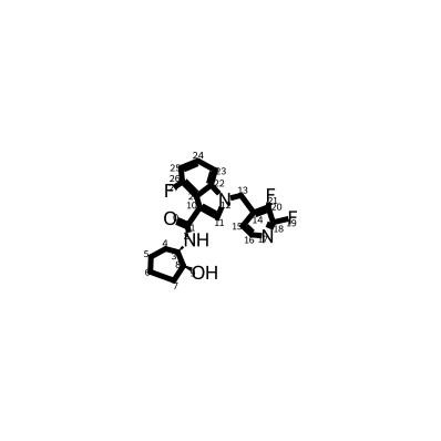 O=C(N[C@H]1CCCC[C@@H]1O)c1cn(Cc2ccnc(F)c2F)c2cccc(F)c12